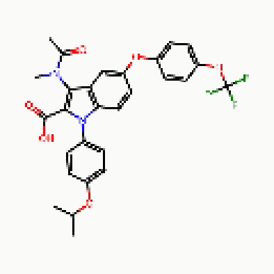 CC(=O)N(C)c1c(C(=O)O)n(-c2ccc(OC(C)C)cc2)c2ccc(Oc3ccc(OC(F)(F)F)cc3)cc12